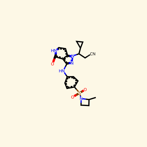 CC1CCN1S(=O)(=O)c1ccc(Nc2nn(C(CC#N)C3CC3)c3cc[nH]c(=O)c23)cc1